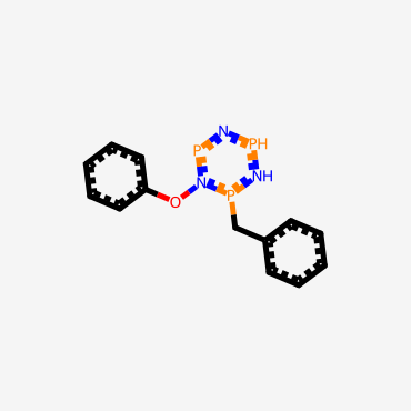 c1ccc(Cp2[nH][pH]npn2Oc2ccccc2)cc1